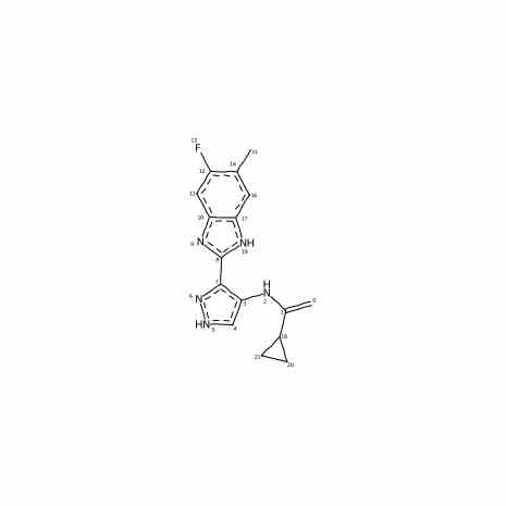 C=C(Nc1c[nH]nc1-c1nc2cc(F)c(C)cc2[nH]1)C1CC1